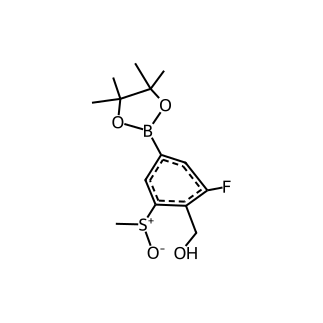 C[S+]([O-])c1cc(B2OC(C)(C)C(C)(C)O2)cc(F)c1CO